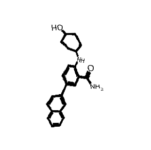 NC(=O)c1cc(-c2ccc3ccccc3c2)ccc1NC1CCC(O)CC1